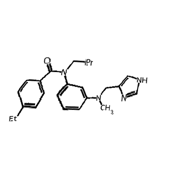 CCc1ccc(C(=O)N(CC(C)C)c2cccc(N(C)Cc3c[nH]cn3)c2)cc1